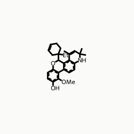 CCC1(C2Oc3ccc(O)c(OC)c3-c3ccc4c(c32)C(C)=CC(C)(C)N4)CC=CCC1